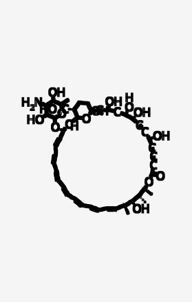 CC1OC(O[C@H]2/C=C/C=C/C=C/C=C/C=C/C=C/C=C/[C@H](C)[C@@H](O)[C@@H](C)[C@H](C)OC(=O)CCC[C@H](O)CC[C@@H](O)[C@H](O)C[C@H](O)C[C@]3(O)CC[C@@H](C(=O)O)[C@H](C2)O3)C(O)C(N)C1O